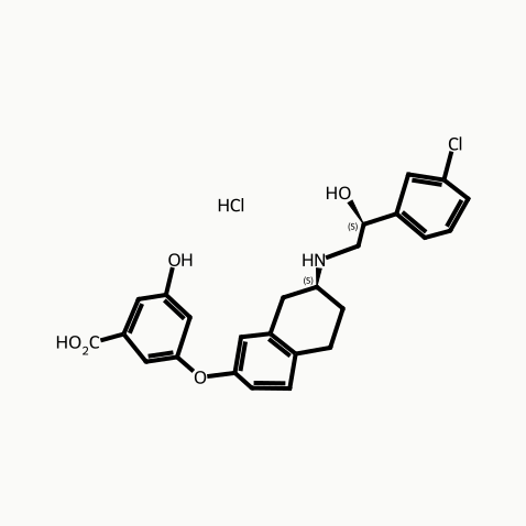 Cl.O=C(O)c1cc(O)cc(Oc2ccc3c(c2)C[C@@H](NC[C@@H](O)c2cccc(Cl)c2)CC3)c1